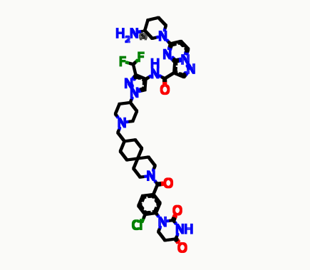 N[C@H]1CCCN(c2ccn3ncc(C(=O)Nc4cn(C5CCN(CC6CCC7(CC6)CCN(C(=O)c6ccc(Cl)c(N8CCC(=O)NC8=O)c6)CC7)CC5)nc4C(F)F)c3n2)C1